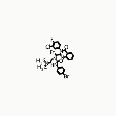 CCC(c1nc2ccccc2c(=O)n1-c1ccc(F)c(Cl)c1)N(CCN(C)C)C(=O)Nc1ccc(Br)cc1